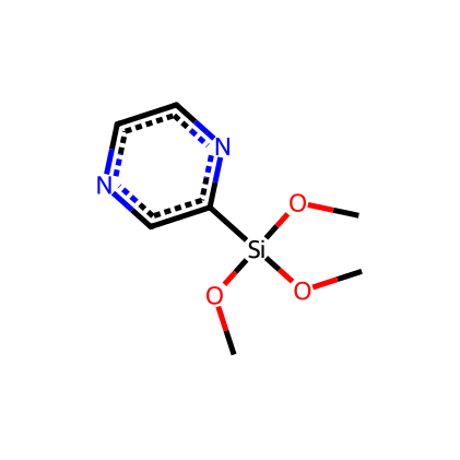 CO[Si](OC)(OC)c1cnccn1